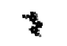 Cc1cc(Cn2nnnc2-c2cccc(C(F)(F)F)c2)ccc1N